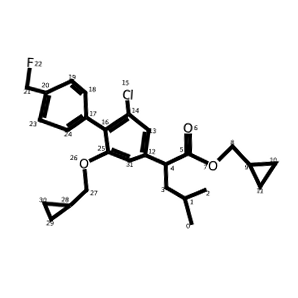 CC(C)CC(C(=O)OCC1CC1)c1cc(Cl)c(-c2ccc(CF)cc2)c(OCC2CC2)c1